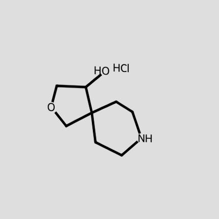 Cl.OC1COCC12CCNCC2